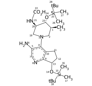 C[C@H]1CN(c2c(N)cnc3c2CCC3O[Si](C)(C)C(C)(C)C)C[C@@H](NC(=O)O)[C@@H]1O[Si](C)(C)C(C)(C)C